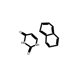 O=c1cc[nH]c(=O)[nH]1.c1ccc2ccccc2c1